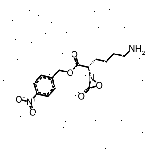 NCCCC[C@@H](C(=O)OCc1ccc([N+](=O)[O-])cc1)N1OC1=O